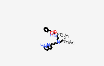 CC(=O)NCCN(CCCCc1ccc2c(n1)NCCC2)CC[C@H](NC(=O)OCc1ccccc1)C(=O)O